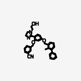 Cc1c(COc2ccc(C3=NCCN3CCO)c(OCc3cccc(C#N)c3)c2)cccc1-c1ccccc1